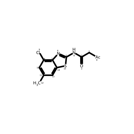 CC(=O)CC(=O)Nc1nc2c(Cl)cc(C)cc2s1